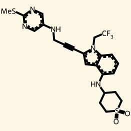 CSc1ncc(NCC#Cc2cc3c(NC4CCS(=O)(=O)CC4)cccc3n2CC(F)(F)F)cn1